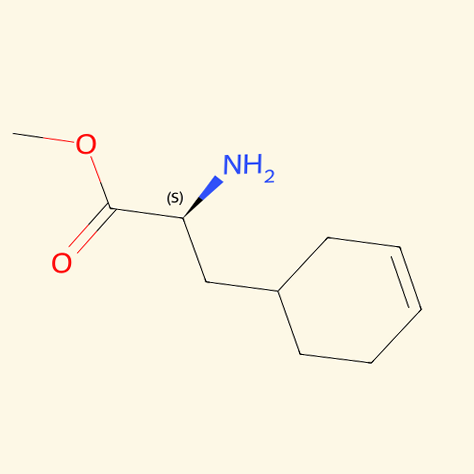 COC(=O)[C@@H](N)CC1CC=CCC1